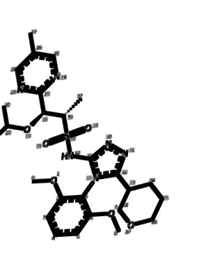 COc1cccc(OC)c1-n1c(NS(=O)(=O)[C@@H](C)[C@@H](OC(C)C)c2ncc(C)cn2)nnc1C1CCCOC1